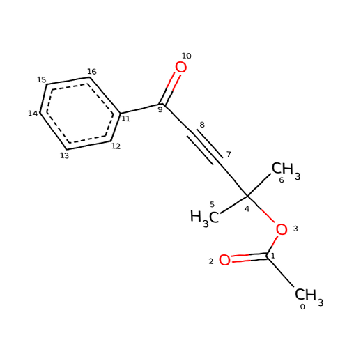 CC(=O)OC(C)(C)C#CC(=O)c1ccccc1